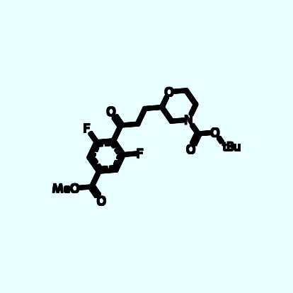 COC(=O)c1cc(F)c(C(=O)CCC2CN(C(=O)OC(C)(C)C)CCO2)c(F)c1